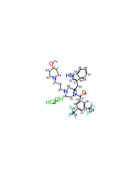 COC1CCN(CCCN2CCN(C(=O)c3cc(C(F)(F)F)cc(C(F)(F)F)c3)[C@H](Cc3c[nH]c4ccccc34)C2)CC1.Cl.Cl